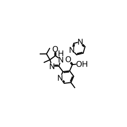 Cc1cnc(C2=NC(C)(C(C)C)C(=O)N2)c(C(=O)O)c1.c1cncnc1